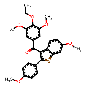 CCOc1c(OC)cc(C(=O)c2c(-c3ccc(OC)cc3)sc3cc(OC)ccc23)cc1OC